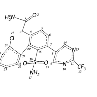 NC(=O)Cc1ccc(-c2cnc(C(F)(F)F)nc2)c(S(N)(=O)=O)c1-c1ccccc1Cl